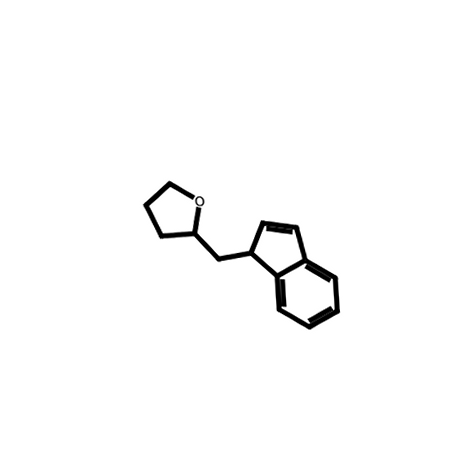 C1=CC(CC2CCCO2)c2ccccc21